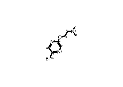 CN(C)CCOc1cnc(Br)cn1